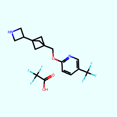 FC(F)(F)c1ccc(OCC23CC(C4CNC4)(C2)C3)nc1.O=C(O)C(F)(F)F